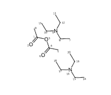 CC(=O)OC(C)=O.CCN(CC)CC.CCN(CC)CC